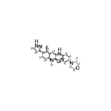 C[C@@H]1COCCN1c1ccc(Nc2cc3c(F)c(-c4cc[nH]n4)ccc3n(C)c2=O)nc1